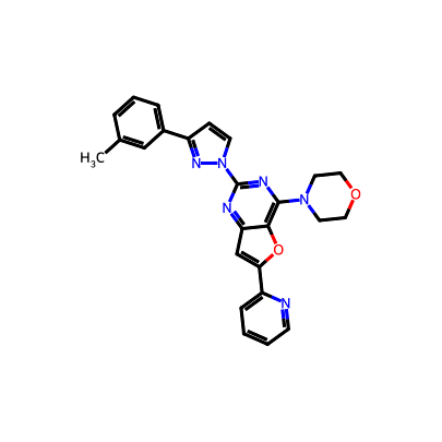 Cc1cccc(-c2ccn(-c3nc(N4CCOCC4)c4oc(-c5ccccn5)cc4n3)n2)c1